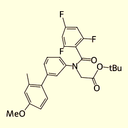 COc1ccc(-c2cccc(N(CC(=O)OC(C)(C)C)C(=O)c3c(F)cc(F)cc3F)c2)c(C)c1